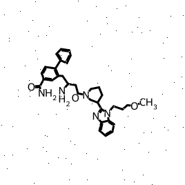 COCCCn1c(C2CCCN(C(=O)CC(N)Cc3cc(C(N)=O)ccc3-c3ccccc3)C2)nc2ccccc21